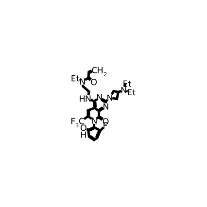 C=CC(=O)N(CC)CCNc1nc(N2CC(N(CC)CC)C2)nc2c(=O)n(-c3c(O)cccc3F)c(C(F)(F)F)cc12